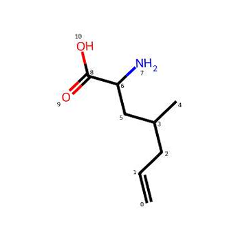 C=CCC(C)CC(N)C(=O)O